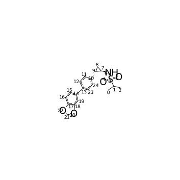 CC(C)S(=O)(=O)N[C@@H]1C[C@H]1c1ccc(-c2ccc3c(c2)OCO3)cc1